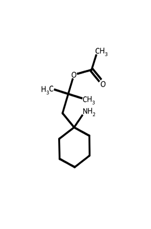 CC(=O)OC(C)(C)CC1(N)CCCCC1